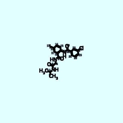 CC(C)NC(=O)CNC(=O)c1cc(I)ccc1NC(=O)c1cccc(Cl)c1